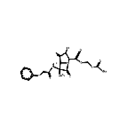 COC1(NC(=O)COc2ccccc2)C(=O)N2C(C(=O)OCOC(=O)C(C)(C)C)C(C)C(=O)[C@@H]21